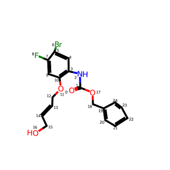 O=C(Nc1cc(Br)c(F)cc1OCC=CCO)OCc1ccccc1